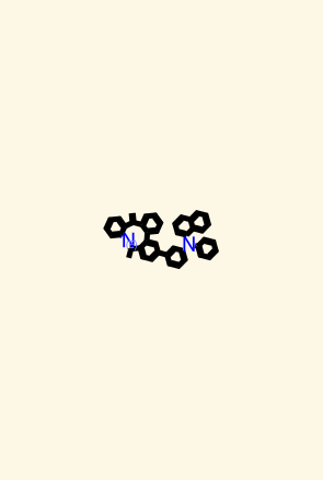 C=C1c2ccccc2/N=C(\C)c2ccc(-c3cccc(N(c4ccccc4)c4cccc5ccccc45)c3)cc2-c2ccccc21